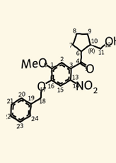 COc1cc(C(=O)C2CCC[C@H]2CO)c([N+](=O)[O-])cc1OCc1ccccc1